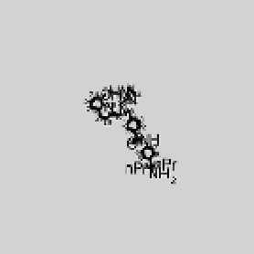 CCCC(N)(CCC)c1ccc(NC(=O)c2ccc(CN(Cc3ccc4cccc(O)c4n3)Cc3ncc[nH]3)cc2)cc1